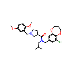 COc1ccc(OC)c(CN2CCC(C(=O)N(Cc3cc(Cl)c4c(c3)OCCCO4)CC(C)C)C2)c1